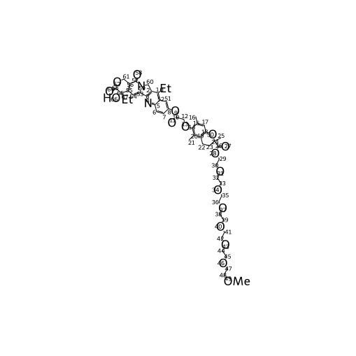 CCc1c2c(nc3ccc(OC(=O)COc4c(C)cc5c(c4C)CCC(C)(C(=O)OCCOCCOCCOCCOCCOCCOCCOC)O5)cc13)-c1cc3c(c(=O)n1C2)COC(=O)[C@]3(O)CC